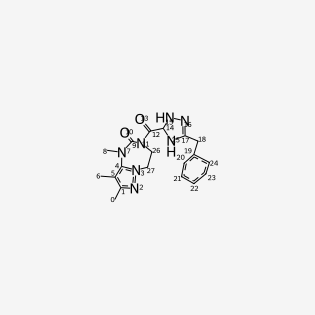 Cc1nn2c(c1C)N(C)C(=O)N(C(=O)C1NN=C(Cc3ccccc3)N1)CC2